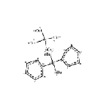 CCCCCCCC[N+](CCCCCCCC)(CCCCCCCC)CCCCCCCC.CCCC[B-](CCCC)(c1ccccc1)c1ccccc1